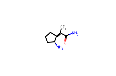 NC(=O)/C(=C1/CCC[C@@H]1N)C(F)(F)F